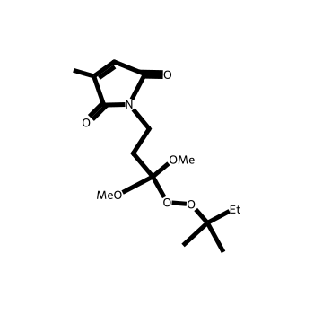 CCC(C)(C)OOC(CCN1C(=O)C=C(C)C1=O)(OC)OC